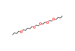 CCCCOCCCCCOCCOCCOCCOCCCC